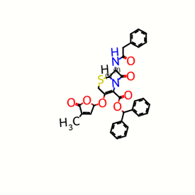 CC1=CC(OC2=C(C(=O)OC(c3ccccc3)c3ccccc3)N3C(=O)[C@@H](NC(=O)Cc4ccccc4)[C@@H]3SC2)OC1=O